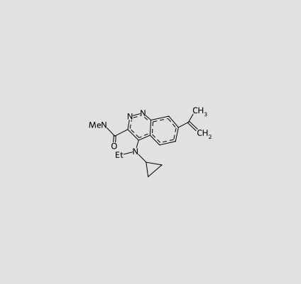 C=C(C)c1ccc2c(N(CC)C3CC3)c(C(=O)NC)nnc2c1